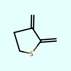 C=C1CCSC1=C